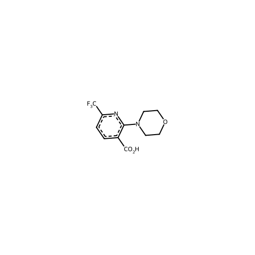 O=C(O)c1ccc(C(F)(F)F)nc1N1CCOCC1